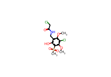 COc1c(Cl)c(OC)c(S(C)(=O)=O)c(O)c1CNC(=O)CCl